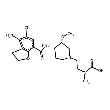 CO[C@@H]1CN(CCN(C)C(=O)O)CC[C@@H]1NC(=O)c1cc(Cl)c(N)c2c1OCC2